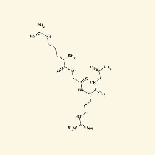 N=C(N)NCCC[C@H](NC(=O)CNC(=O)[C@@H](N)CCCNC(=N)N)C(=O)NCC(N)=O